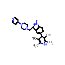 CC1=C(C#N)C(c2ccc3[nH]nc(CN4CCN(c5ccncc5)CC4)c3c2)C(C#N)=C(C)N1